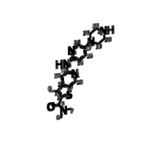 Cc1c(C(=O)N(C)C)sc2cnc(Nc3ccc(N4CCNCC4)cn3)cc12